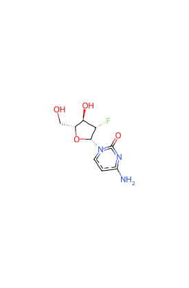 Nc1ccn([C@@H]2O[C@H](CO)[C@@H](O)[C@@H]2F)c(=O)n1